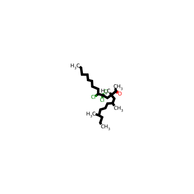 CCCCCCCCC(Cl)C(Cl)(Cl)CC(C)(CC(C)CCCC(C)CCC)C(C)=O